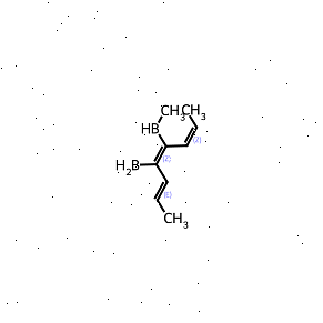 BC(/C=C/C)=C(BC)/C=C\C